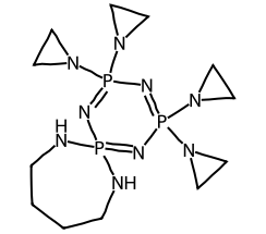 C1CCNP2(=NP(N3CC3)(N3CC3)=NP(N3CC3)(N3CC3)=N2)NC1